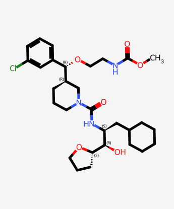 COC(=O)NCCO[C@@H](c1cccc(Cl)c1)[C@@H]1CCCN(C(=O)N[C@@H](CC2CCCCC2)[C@@H](O)[C@@H]2CCCO2)C1